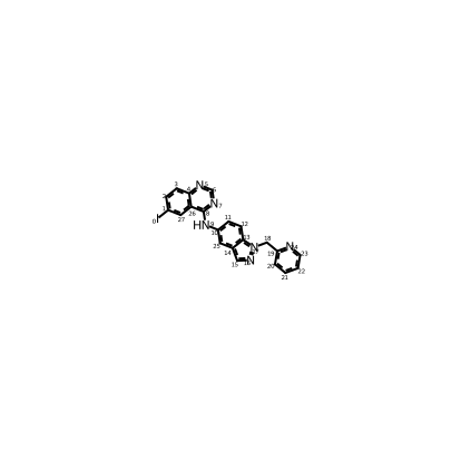 Ic1ccc2ncnc(Nc3ccc4c(cnn4Cc4ccccn4)c3)c2c1